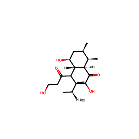 CCCCCC[C@@H](C)C1=C(O)C(=O)[C@@H]2[C@H](C)[C@H](C)C[C@H](O)[C@H]2C1C(=O)CCO